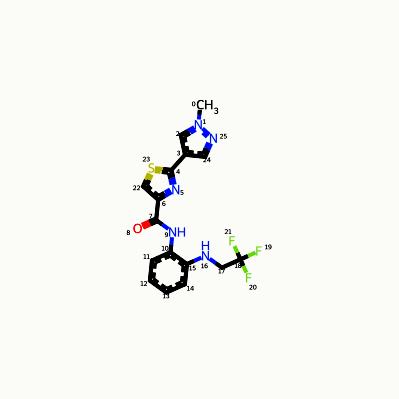 Cn1cc(-c2nc(C(=O)Nc3ccccc3NCC(F)(F)F)cs2)cn1